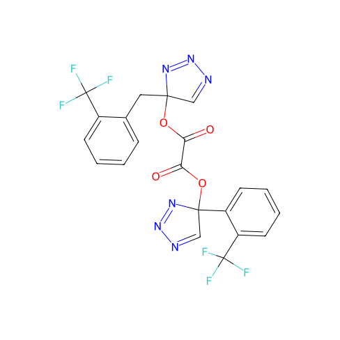 O=C(OC1(Cc2ccccc2C(F)(F)F)C=NN=N1)C(=O)OC1(c2ccccc2C(F)(F)F)C=NN=N1